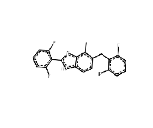 Cc1c(Cc2c(F)cccc2F)ccc2[nH]c(-c3c(F)cccc3F)nc12